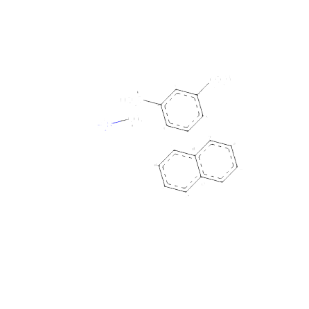 CN.O=C(O)c1cccc(C(=O)O)c1.c1ccc2ccccc2c1